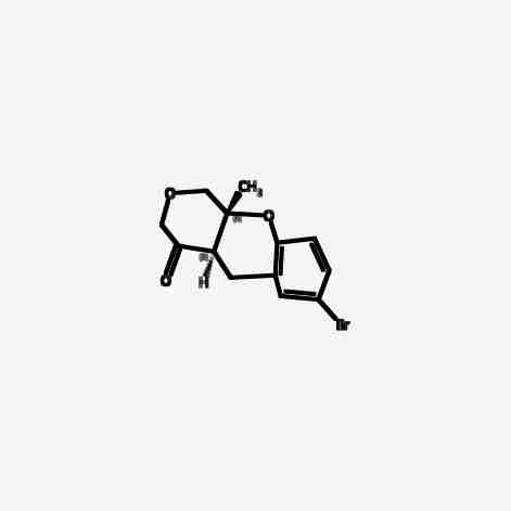 C[C@]12COCC(=O)[C@@H]1Cc1cc(Br)ccc1O2